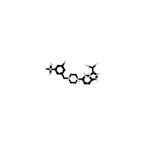 CS(=O)(=O)c1cc(F)cc(CN2CCN(c3ccc4nnc(C(F)F)n4n3)CC2)c1